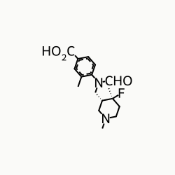 Cc1cc(C(=O)O)ccc1N(C=O)C[C@H]1CN(C)CC[C@]1(C)F